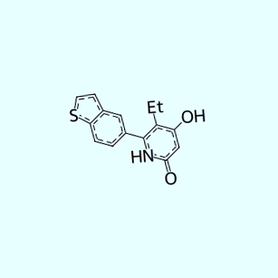 CCc1c(O)cc(=O)[nH]c1-c1ccc2sccc2c1